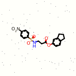 O=C(CCNS(=O)(=O)c1ccc([N+](=O)[O-])cc1)Oc1ccc2c(c1)CCC2